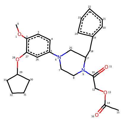 COc1ccc(N2CCN(C(=O)COC(C)=O)C(Cc3ccccc3)C2)cc1OC1CCCC1